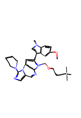 COc1ccc2c(c1)c(-c1cc3c(ncc4cnc(N5CCCC5)n43)n1COCC[Si](C)(C)C)cn2C